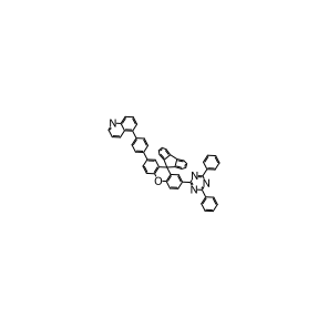 c1ccc(-c2nc(-c3ccccc3)nc(-c3ccc4c(c3)C3(c5cc(-c6ccc(-c7cccc8ncccc78)cc6)ccc5O4)c4ccccc4-c4ccccc43)n2)cc1